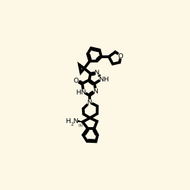 N[C@@H]1c2ccccc2CC12CCN(c1nc3[nH]nc(C4(c5cccc(C6CCOC6)c5)CC4)c3c(=O)[nH]1)CC2